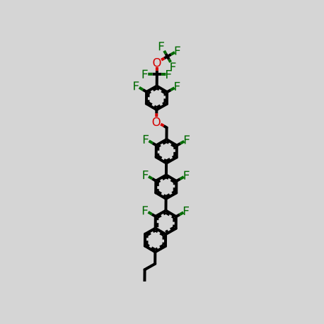 CCCc1ccc2c(F)c(-c3cc(F)c(-c4cc(F)c(COc5cc(F)c(C(F)(F)OC(F)(F)F)c(F)c5)c(F)c4)c(F)c3)c(F)cc2c1